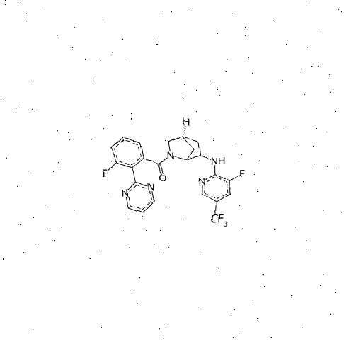 O=C(c1cccc(F)c1-c1ncccn1)N1C[C@H]2CC(Nc3ncc(C(F)(F)F)cc3F)C1C2